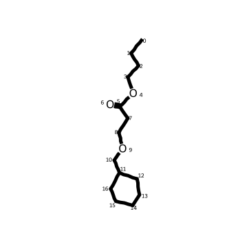 CCCCOC(=O)CCOCC1CCCCC1